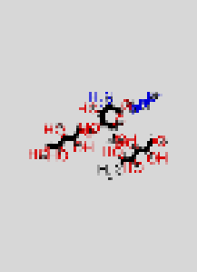 CC(O)C(O)C(O)C(O)C=O.O=CC(O)C(O)C(O)CO.[N-]=[N+]=NOC1O[C@H](CO)[C@H](O)[C@H](O)[C@H]1N